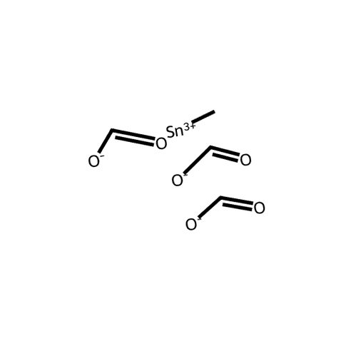 O=C[O-].O=C[O-].O=C[O-].[CH3][Sn+3]